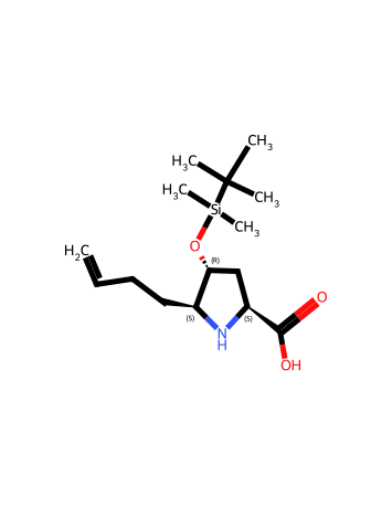 C=CCC[C@@H]1N[C@H](C(=O)O)C[C@H]1O[Si](C)(C)C(C)(C)C